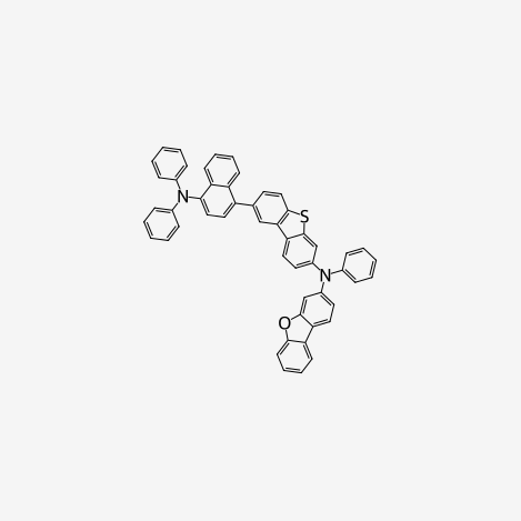 c1ccc(N(c2ccc3c(c2)oc2ccccc23)c2ccc3c(c2)sc2ccc(-c4ccc(N(c5ccccc5)c5ccccc5)c5ccccc45)cc23)cc1